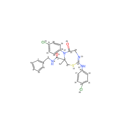 CC1(C(=O)NCc2ccccc2)CS/C(Nc2ccc(Cl)cc2)=N\CC(=O)N1c1ccc(Cl)cc1